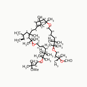 C=CC(C)CC(C)(CCC1CC(C)(CC(C)(C)OCCCCC(C)(C)C(C)(C)OCCC(C)(C)OC=O)C1)CC(C)(C)OCCCCC(C)(C)C(C)(C)OCCC(C)(C)OC